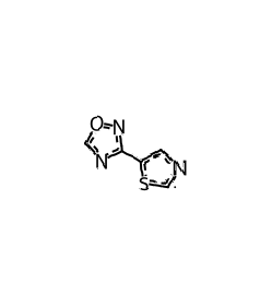 [c]1ncc(-c2ncon2)s1